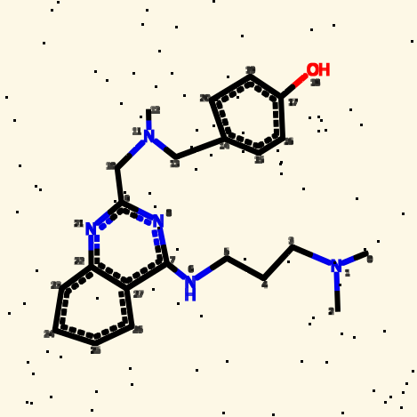 CN(C)CCCNc1nc(CN(C)Cc2ccc(O)cc2)nc2ccccc12